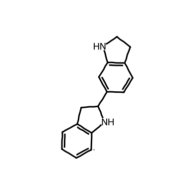 [c]1cccc2c1NC(c1ccc3c(c1)NCC3)C2